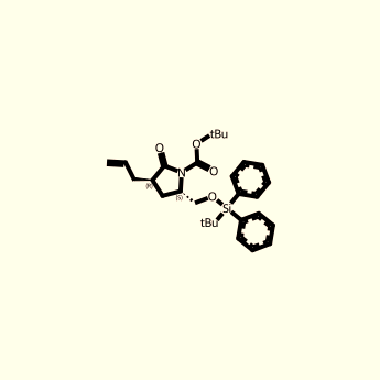 C=CC[C@@H]1C[C@@H](CO[Si](c2ccccc2)(c2ccccc2)C(C)(C)C)N(C(=O)OC(C)(C)C)C1=O